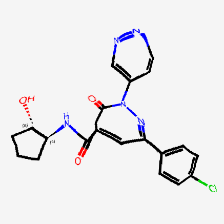 O=C(N[C@H]1CCC[C@@H]1O)c1cc(-c2ccc(Cl)cc2)nn(-c2ccnnc2)c1=O